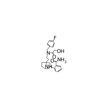 NC(=O)c1ccccc1C1CC2CCC(CCN(Cc3ccc(F)cc3)C(=O)CO)(C1)N2